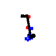 COC(=O)CCCCCCCCC(=O)NCCCCn1cnc2c(N)nc3ccccc3c21